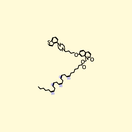 CCCCC/C=C\C/C=C\C/C=C\C/C=C\C/C=C\CCCCCC(=O)OCn1c(=O)ccc2ccc(OCCCCN3CCN(c4cccc5sccc45)CC3)cc21